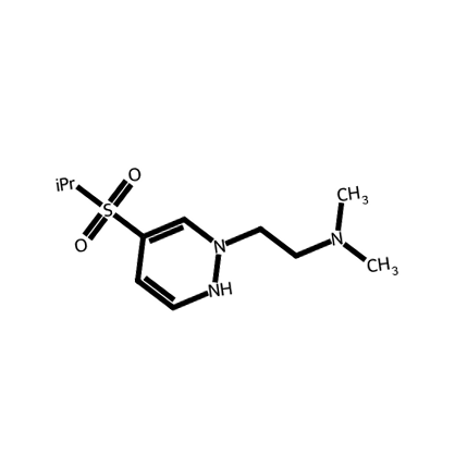 CC(C)S(=O)(=O)C1=CN(CCN(C)C)NC=C1